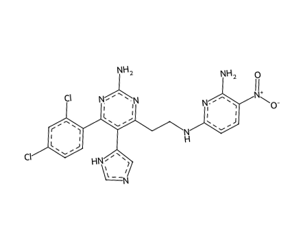 Nc1nc(CCNc2ccc([N+](=O)[O-])c(N)n2)c(-c2cnc[nH]2)c(-c2ccc(Cl)cc2Cl)n1